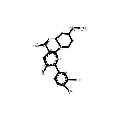 N#Cc1ccc(-c2nc(N3CCC(NC(=O)O)CC3)c(C(N)=O)cc2Br)cc1F